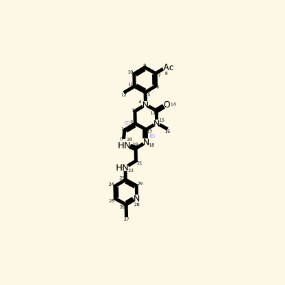 C/C=C1/CN(c2cc(C(C)=O)ccc2C)C(=O)N(C)/C1=N/C(=N)CNc1ccc(C)nc1